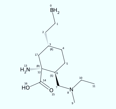 BCC[C@@H]1CC[C@@H](CN(C)CC)[C@@](N)(C(=O)O)C1